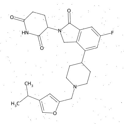 CC(C)c1coc(CN2CCC(c3cc(F)cc4c3CN(C3CCC(=O)NC3=O)C4=O)CC2)c1